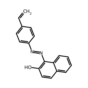 C=Cc1ccc(/N=N/c2c(O)ccc3ccccc23)cc1